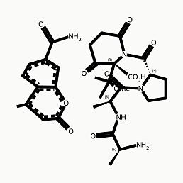 COC(C)(C)[C@]1(C(=O)O)C(=O)CCC(=O)N1C(=O)[C@@H]1CCCN1C(=O)[C@H](C)NC(=O)[C@H](C)N.Cc1cc(=O)oc2cc(C(N)=O)ccc12